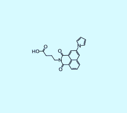 O=C(O)CCCN1C(=O)c2cccc3cc(-n4cccc4)cc(c23)C1=O